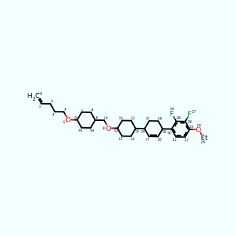 C=CCCCOC1CCC(COC2CCC(C3C=CC(c4ccc(OCC)c(F)c4F)CC3)CC2)CC1